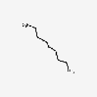 NCCCCCCC[N+](=O)[O-]